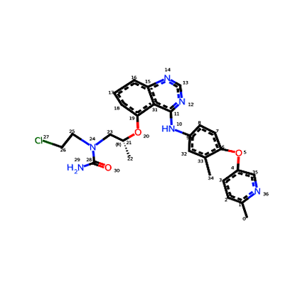 Cc1ccc(Oc2ccc(Nc3ncnc4cccc(O[C@H](C)CN(CCCl)C(N)=O)c34)cc2C)cn1